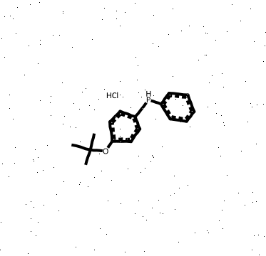 CC(C)(C)Oc1ccc(Pc2ccccc2)cc1.Cl